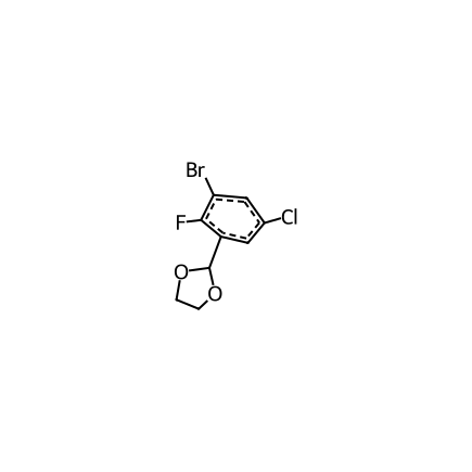 Fc1c(Br)cc(Cl)cc1C1OCCO1